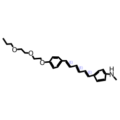 CCCOCCOCCOc1ccc(/C=C/C=C/C=C/c2ccc(NC)cc2)cc1